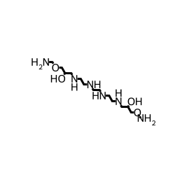 NCOCC(O)CNCCNCCNCCNCC(O)CON